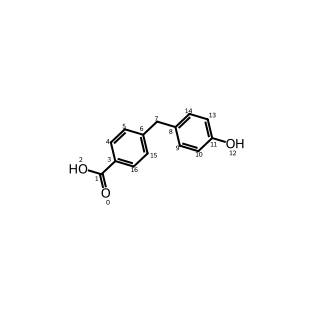 O=C(O)c1ccc(Cc2ccc(O)cc2)cc1